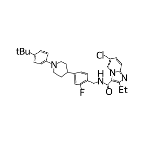 CCc1nc2ccc(Cl)cn2c1C(=O)NCc1ccc(C2CCN(c3ccc(C(C)(C)C)cc3)CC2)cc1F